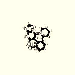 Cc1nc2ncnn2c(N2CCCCC2)c1-c1c(F)cccc1Cl